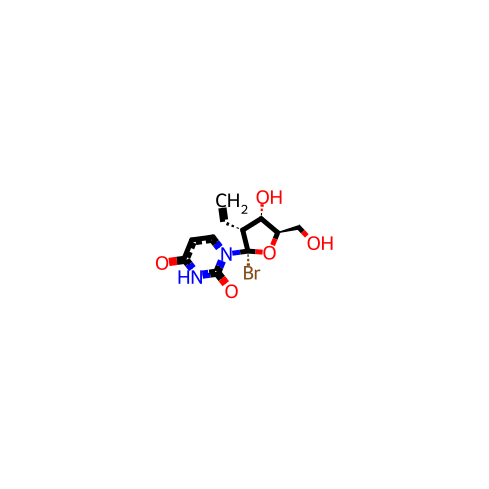 C=C[C@@H]1[C@H](O)[C@@H](CO)O[C@@]1(Br)n1ccc(=O)[nH]c1=O